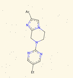 CCc1cnc(N2CCn3cc(C(C)=O)nc3C2)nc1